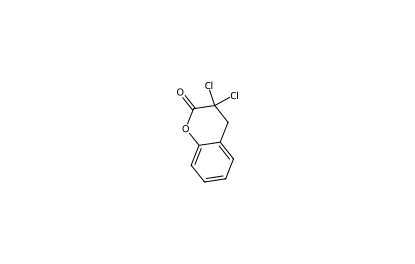 O=C1Oc2ccccc2CC1(Cl)Cl